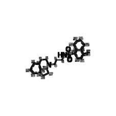 O=S(=O)(NCCCN1CCc2cccc3c2C1CC3)c1ccc(F)c2ccccc12